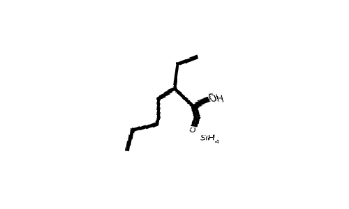 CCCCC(CC)C(=O)O.[SiH4]